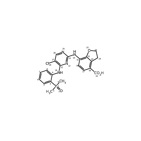 CP(C)(=O)c1ccccc1Nc1nc(Nc2ccc(C(=O)O)c3c2OCC3)ncc1Cl